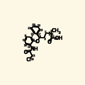 CN(CCC(Oc1ccccc1NC(=O)CCl)c1ccccc1)C(=O)O